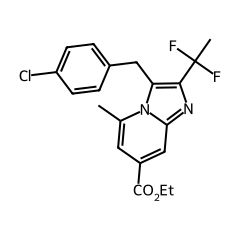 CCOC(=O)c1cc(C)n2c(Cc3ccc(Cl)cc3)c(C(C)(F)F)nc2c1